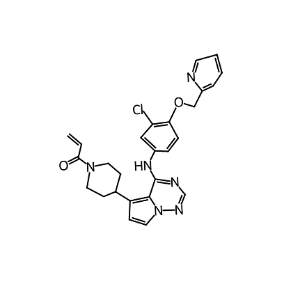 C=CC(=O)N1CCC(c2ccn3ncnc(Nc4ccc(OCc5ccccn5)c(Cl)c4)c23)CC1